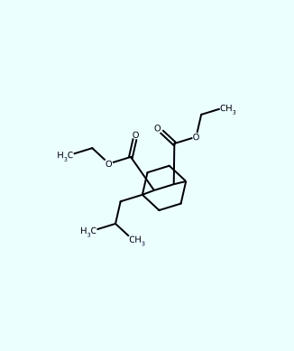 CCOC(=O)C1C2CCC(CC(C)C)(CC2)C1C(=O)OCC